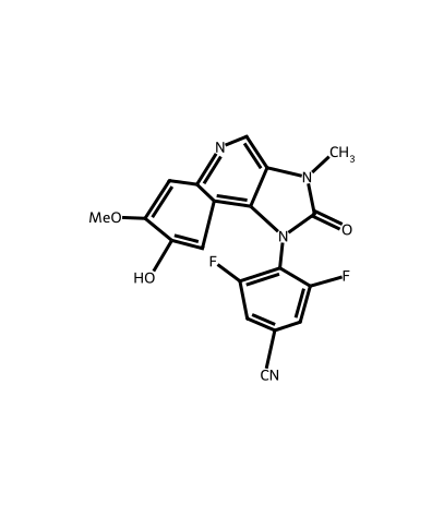 COc1cc2ncc3c(c2cc1O)n(-c1c(F)cc(C#N)cc1F)c(=O)n3C